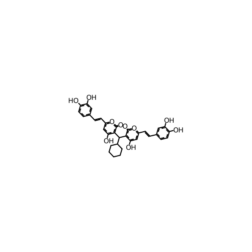 O=c1oc(C=Cc2ccc(O)c(O)c2)cc(O)c1C(c1c(O)cc(C=Cc2ccc(O)c(O)c2)oc1=O)C1CCCCC1